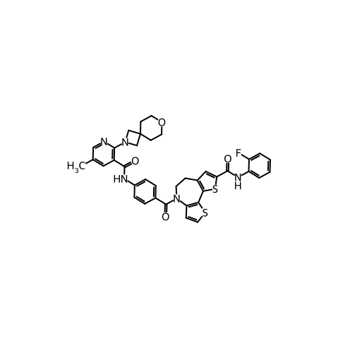 Cc1cnc(N2CC3(CCOCC3)C2)c(C(=O)Nc2ccc(C(=O)N3CCc4cc(C(=O)Nc5ccccc5F)sc4-c4sccc43)cc2)c1